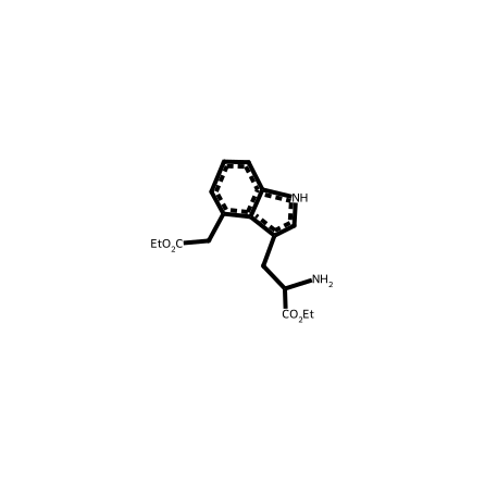 CCOC(=O)Cc1cccc2[nH]cc(CC(N)C(=O)OCC)c12